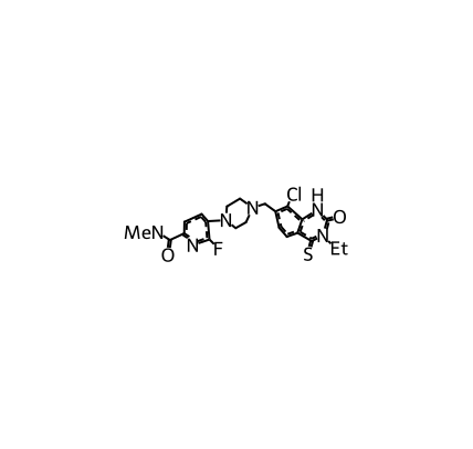 CCn1c(=O)[nH]c2c(Cl)c(CN3CCN(c4ccc(C(=O)NC)nc4F)CC3)ccc2c1=S